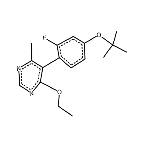 CCOc1ncnc(C)c1-c1ccc(OC(C)(C)C)cc1F